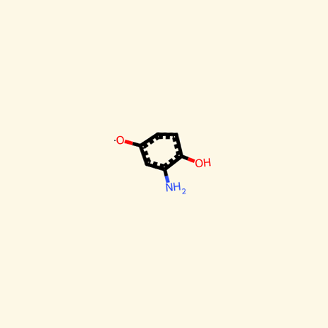 Nc1cc([O])ccc1O